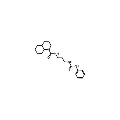 O=C(NCCCNC(=O)N1CCCC2CCCCC21)Nc1ccccc1